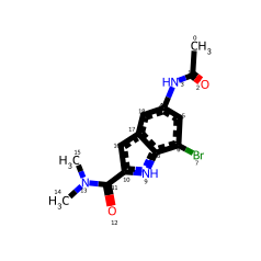 CC(=O)Nc1cc(Br)c2[nH]c(C(=O)N(C)C)cc2c1